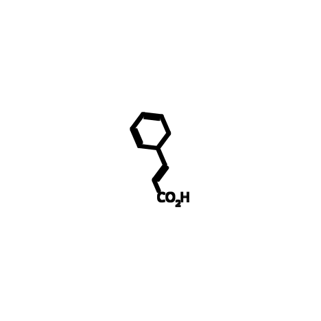 O=C(O)/C=C/C1C=CC=CC1